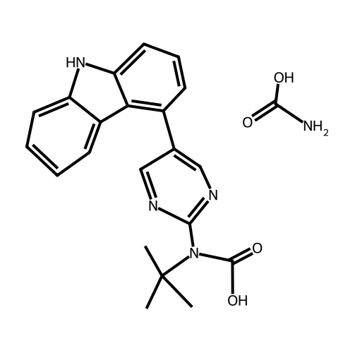 CC(C)(C)N(C(=O)O)c1ncc(-c2cccc3[nH]c4ccccc4c23)cn1.NC(=O)O